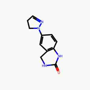 O=C1NCc2cc(N3CCC=N3)ccc2N1